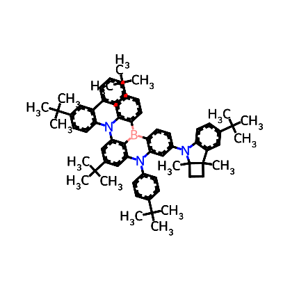 CC(C)(C)c1ccc(N2c3cc(N4c5ccc(C(C)(C)C)cc5C5(C)CCC45C)ccc3B3c4ccc(C(C)(C)C)cc4N(c4ccc(C(C)(C)C)cc4-c4ccccc4)c4cc(C(C)(C)C)cc2c43)cc1